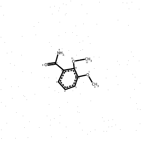 COc1cccc(C(N)=O)c1OC